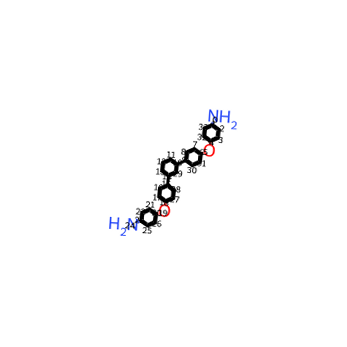 Nc1ccc(Oc2ccc(-c3cccc(-c4ccc(Oc5ccc(N)cc5)cc4)c3)cc2)cc1